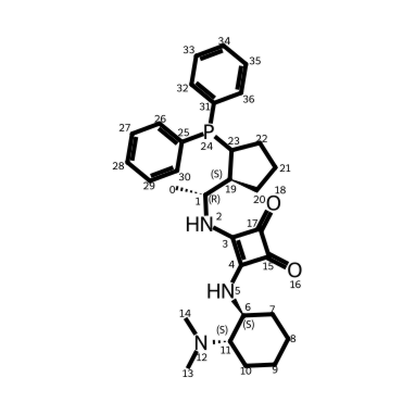 C[C@@H](Nc1c(N[C@H]2CCCC[C@@H]2N(C)C)c(=O)c1=O)[C@@H]1CCCC1P(c1ccccc1)c1ccccc1